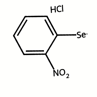 Cl.O=[N+]([O-])c1ccccc1[Se]